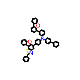 c1ccc(-c2ccc(N(c3ccc(-c4cc5nc(-c6ccccc6)sc5c5c4oc4ccccc45)cc3)c3cccc(-c4cccc5c4oc4ccccc45)c3)cc2)cc1